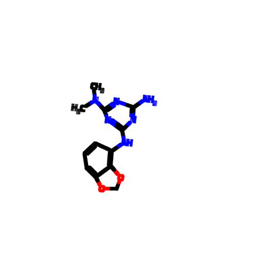 CN(C)c1nc(N)nc(Nc2cccc3c2OCO3)n1